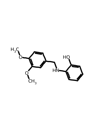 COc1ccc(CNc2ccccc2O)cc1OC